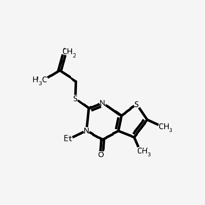 C=C(C)CSc1nc2sc(C)c(C)c2c(=O)n1CC